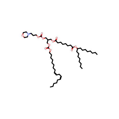 CCCCC/C=C\C/C=C\CCCCCCCCOC(=O)OCC(COC(=O)CCCCCCC(=O)OC(CCCCCCCC)CCCCCCCC)COC(=O)OCCCN1CCOCC1